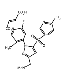 CNCc1cc(S(=O)(=O)c2ccc(C)nc2)n(-c2cc(F)ccc2C)n1.O=C(O)/C=C/C(=O)O